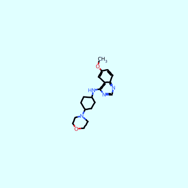 COc1ccc2ncnc(NC3CCC(N4CCOCC4)CC3)c2c1